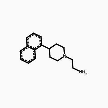 NCCN1CCC(c2cccc3ccccc23)CC1